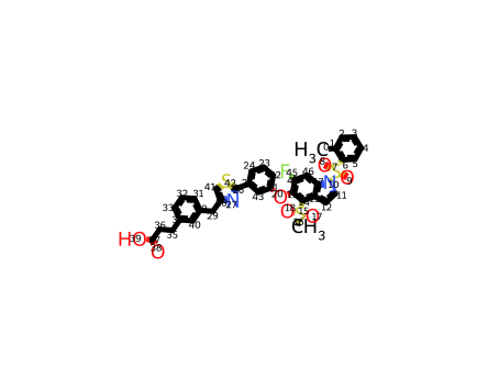 Cc1ccccc1S(=O)(=O)n1ccc2c(S(C)(=O)=O)c(Oc3cccc(-c4nc(Cc5cccc(CCC(=O)O)c5)cs4)c3)c(F)cc21